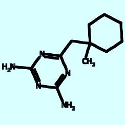 CC1(Cc2nc(N)nc(N)n2)CCCCC1